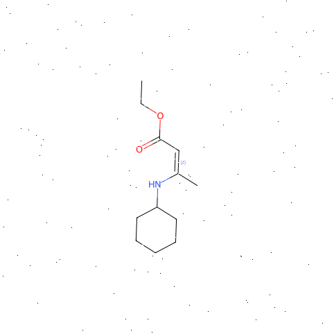 CCOC(=O)/C=C(/C)NC1CCCCC1